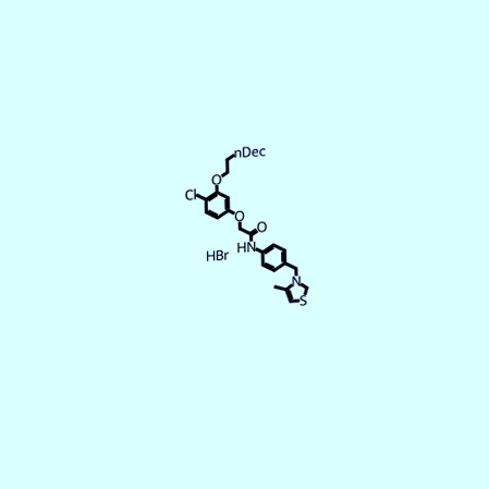 Br.CCCCCCCCCCCCOc1cc(OCC(=O)Nc2ccc(CN3CSC=C3C)cc2)ccc1Cl